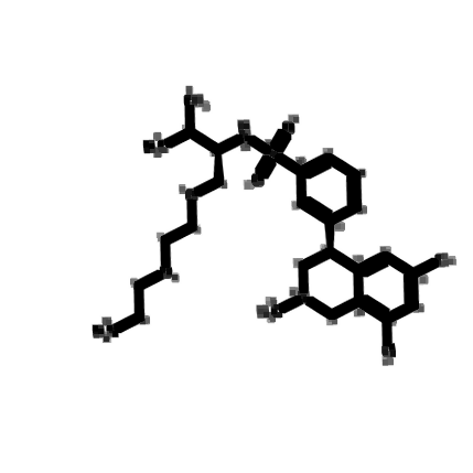 CC(C)[C@H](COCCOCCN)NS(=O)(=O)c1cccc([C@@H]2CN(C)Cc3c(Cl)cc(Cl)cc32)c1